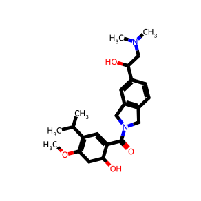 COC1=C(C(C)C)C=C(C(=O)N2Cc3ccc(C(O)CN(C)C)cc3C2)C(O)C1